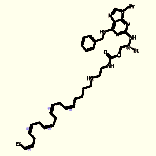 CC/C=C\C/C=C\C/C=C\C/C=C\C/C=C\CCCCNCCNC(=O)OC[C@@H](CC)Nc1nc(NCc2ccccc2)c2ncn(C(C)C)c2n1